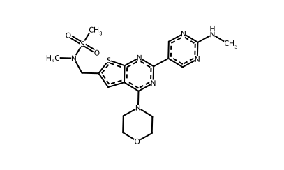 CNc1ncc(-c2nc(N3CCOCC3)c3cc(CN(C)S(C)(=O)=O)sc3n2)cn1